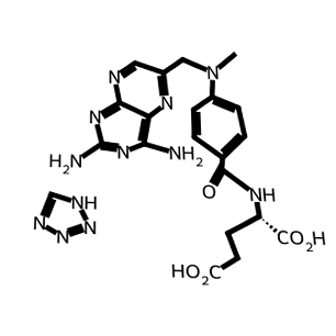 CN(Cc1cnc2nc(N)nc(N)c2n1)c1ccc(C(=O)N[C@@H](CCC(=O)O)C(=O)O)cc1.c1nnn[nH]1